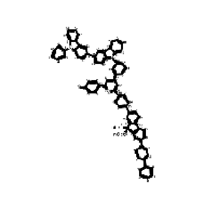 CCCCCCCCC1(CCCCCCCC)c2cc(-c3ccc(-c4ccccc4)cc3)ccc2-c2ccc(-c3ccc(-c4cc(-c5cccc(-n6c7ccccc7c7cc(-c8ccc9c(c8)c8ccccc8n9-c8ccccc8)ccc76)c5)cc(-c5ccc(C)cc5)n4)cc3)cc21